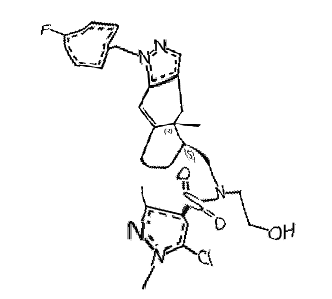 Cc1nn(C)c(Cl)c1S(=O)(=O)N(CCO)C[C@H]1CCC2=Cc3c(cnn3-c3ccc(F)cc3)C[C@@]21C